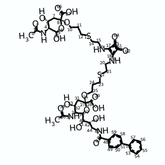 CC(=O)N[C@H]1[C@H](O)C[C@](OCCCSCCNc2c(NCCSCCCO[C@]3(C(=O)O)C[C@H](O)[C@@H](NC(C)=O)[C@H]([C@H](O)[C@H](O)CNC(=O)c4ccc(-c5ccccc5)cc4)O3)c(=O)c2=O)(C(=O)O)O[C@H]1O